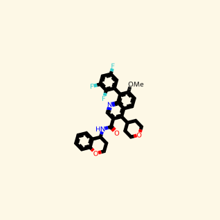 COc1ccc2c(C3CCOCC3)c(C(=O)NC3CCOc4ccccc43)cnc2c1-c1cc(F)cc(F)c1F